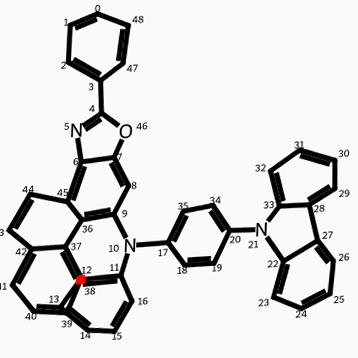 c1ccc(-c2nc3c(cc(N(c4ccccc4)c4ccc(-n5c6ccccc6c6ccccc65)cc4)c4c5ccccc5ccc34)o2)cc1